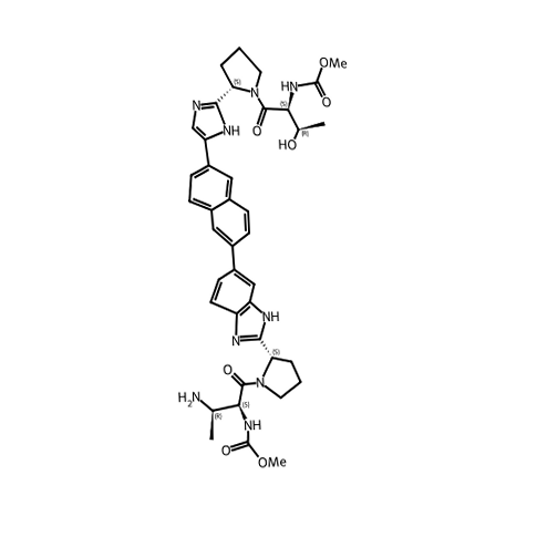 COC(=O)N[C@H](C(=O)N1CCC[C@H]1c1nc2ccc(-c3ccc4cc(-c5cnc([C@@H]6CCCN6C(=O)[C@@H](NC(=O)OC)[C@@H](C)O)[nH]5)ccc4c3)cc2[nH]1)[C@@H](C)N